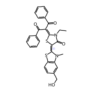 CCn1c(=C(C(=O)c2ccccc2)C(=O)c2ccccc2)s/c(=C2\Sc3ccc(CO)cc3N2C)c1=O